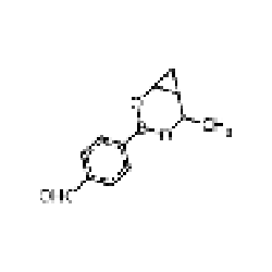 CC1OB(c2ccc(C=O)cc2)OC2CC12